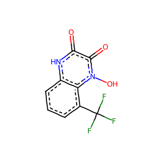 O=c1[nH]c2cccc(C(F)(F)F)c2n(O)c1=O